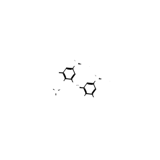 Cc1cc([S+](C)C)cc(C)c1O.Cc1cc([S+](C)C)cc(C)c1O.[O-]B([O-])F